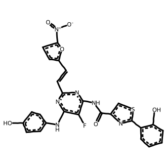 O=C(Nc1nc(/C=C/c2ccc([N+](=O)[O-])o2)nc(Nc2ccc(O)cc2)c1F)c1csc(-c2ccccc2O)n1